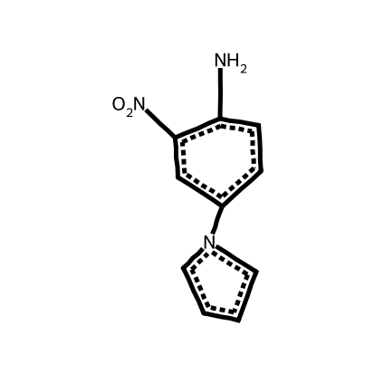 Nc1ccc(-n2cccc2)cc1[N+](=O)[O-]